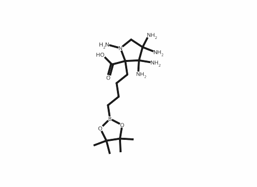 CC1(C)OB(CCCCC2(C(=O)O)N(N)CC(N)(N)C2(N)N)OC1(C)C